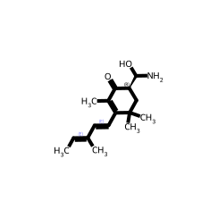 C/C=C(C)/C=C/C1=C(C)C(=O)[C@@H](C(N)O)CC1(C)C